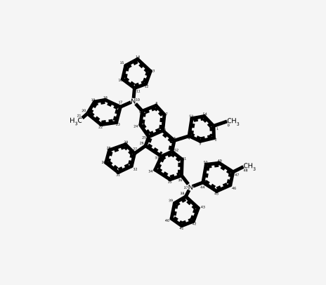 Cc1ccc(-c2c3ccc(N(c4ccccc4)c4ccc(C)cc4)cc3c(-c3ccccc3)c3ccc(N(c4ccccc4)c4ccc(C)cc4)cc23)cc1